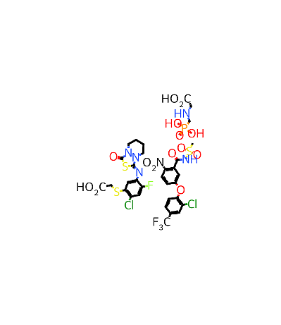 CS(=O)(=O)NC(=O)c1cc(Oc2ccc(C(F)(F)F)cc2Cl)ccc1[N+](=O)[O-].O=C(O)CNCP(=O)(O)O.O=C(O)CSc1cc(N=c2sc(=O)n3n2CCCC3)c(F)cc1Cl